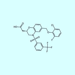 O=C(O)C[C@@H]1CN(S(=O)(=O)c2cccc(C(F)(F)F)c2)c2cc(COc3c(F)cccc3Cl)ccc2O1